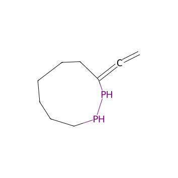 C=C=C1CCCCCCPP1